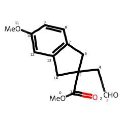 COC(=O)C1(CC=O)Cc2ccc(OC)cc2C1